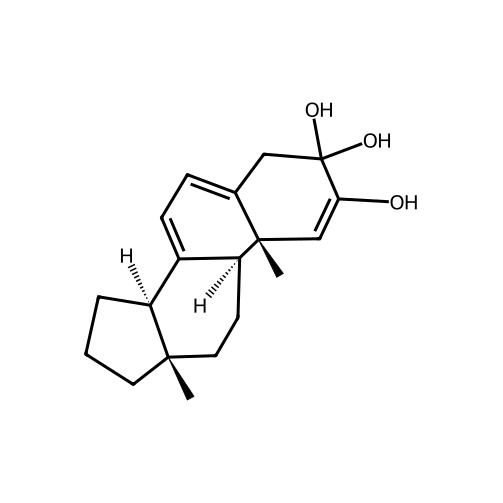 C[C@@]12CCC[C@H]1C1=CC=C3CC(O)(O)C(O)=C[C@]3(C)[C@H]1CC2